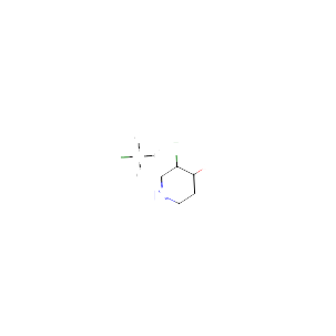 C[Si](C)(C)Cl.OC1CCNCC1F